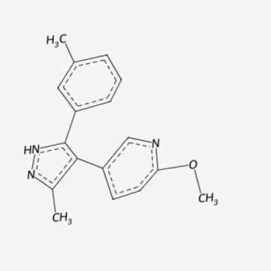 COc1ccc(-c2c(C)n[nH]c2-c2cccc(C)c2)cn1